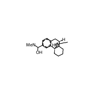 CNC(O)c1ccc2c(c1)[C@@]13CCCC[C@@]1(O)[C@@H](C2)N(C)CC3